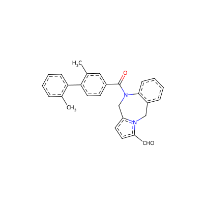 Cc1ccccc1-c1ccc(C(=O)N2Cc3ccc(C=O)n3Cc3ccccc32)cc1C